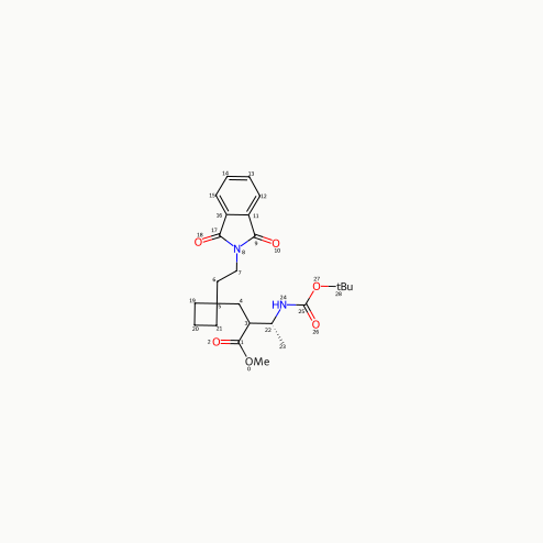 COC(=O)C(CC1(CCN2C(=O)c3ccccc3C2=O)CCC1)[C@@H](C)NC(=O)OC(C)(C)C